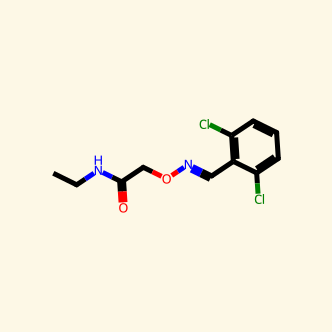 CCNC(=O)CON=Cc1c(Cl)cccc1Cl